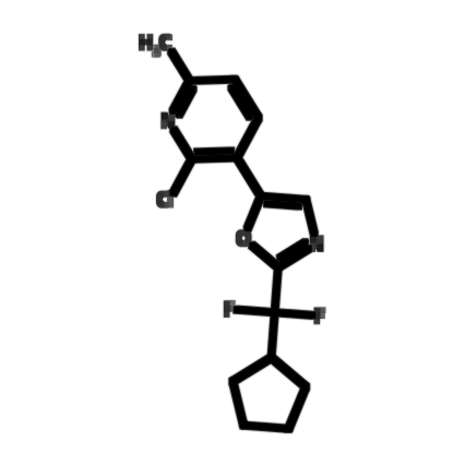 Cc1ccc(-c2cnc(C(F)(F)C3CCCC3)o2)c(Cl)n1